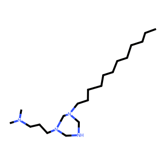 CCCCCCCCCCCCN1CNCN(CCCN(C)C)C1